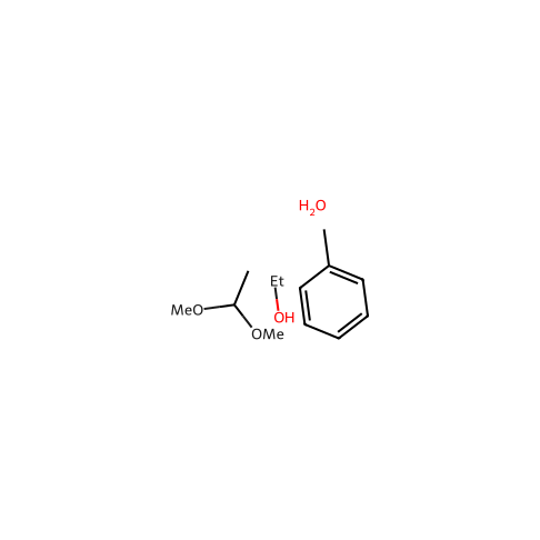 CCO.COC(C)OC.Cc1ccccc1.O